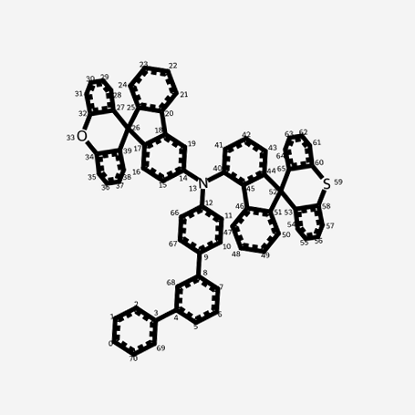 c1ccc(-c2cccc(-c3ccc(N(c4ccc5c(c4)-c4ccccc4C54c5ccccc5Oc5ccccc54)c4cccc5c4-c4ccccc4C54c5ccccc5Sc5ccccc54)cc3)c2)cc1